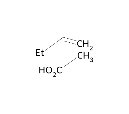 C=CCC.CC(=O)O